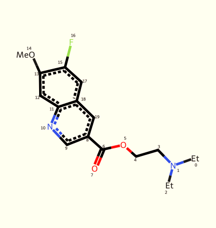 CCN(CC)CCOC(=O)c1cnc2cc(OC)c(F)cc2c1